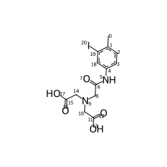 Cc1ccc(NC(=O)CN(CC(=O)O)CC(=O)O)cc1I